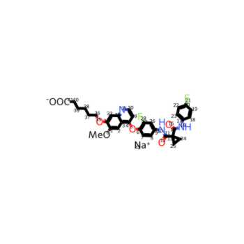 COc1cc2c(Oc3ccc(NC(=O)C4(C(=O)Nc5ccc(F)cc5)CC4)cc3F)ccnc2cc1OCCCCCC(=O)[O-].[Na+]